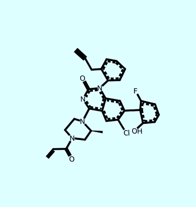 C#CCc1ccccc1-n1c(=O)nc(N2CCN(C(=O)C=C)C[C@@H]2C)c2cc(Cl)c(-c3c(O)cccc3F)cc21